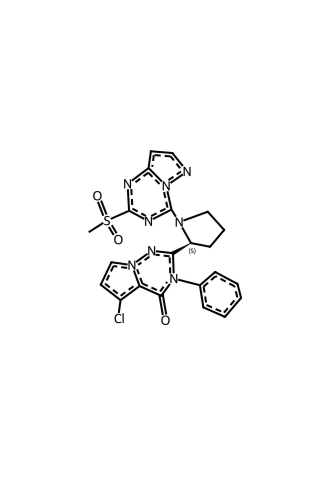 CS(=O)(=O)c1nc(N2CCC[C@H]2c2nn3ccc(Cl)c3c(=O)n2-c2ccccc2)n2nccc2n1